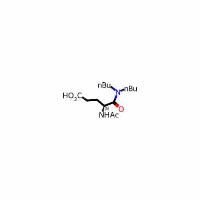 CCCCN(CCCC)C(=O)[C@H](CCC(=O)O)NC(C)=O